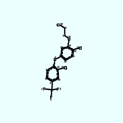 FC(F)(F)c1ccc(Oc2ccc(Cl)c(OCCCl)c2)c(Cl)c1